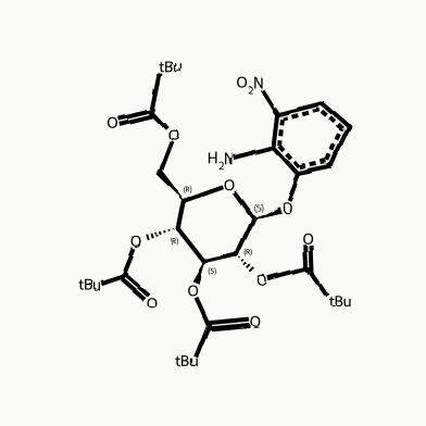 CC(C)(C)C(=O)OC[C@H]1O[C@@H](Oc2cccc([N+](=O)[O-])c2N)[C@H](OC(=O)C(C)(C)C)[C@@H](OC(=O)C(C)(C)C)[C@@H]1OC(=O)C(C)(C)C